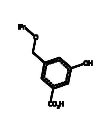 CC(C)OCc1cc(O)cc(C(=O)O)c1